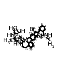 CCNC(=O)c1ccccc1-c1[nH]c2ccc(CN3C(=O)C(NC(=O)CC(C)(C)NC(CO)CO)CCc4ccccc43)cc2c1Br